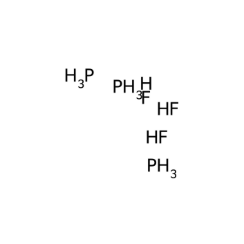 F.F.F.P.P.P